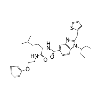 CCC(CC)n1c(Cc2cccs2)nc2cc(C(=O)NC(CCC(C)C)C(=O)NCCOc3ccccc3)ccc21